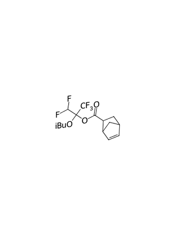 CC(C)COC(OC(=O)C1CC2C=CC1C2)(C(F)F)C(F)(F)F